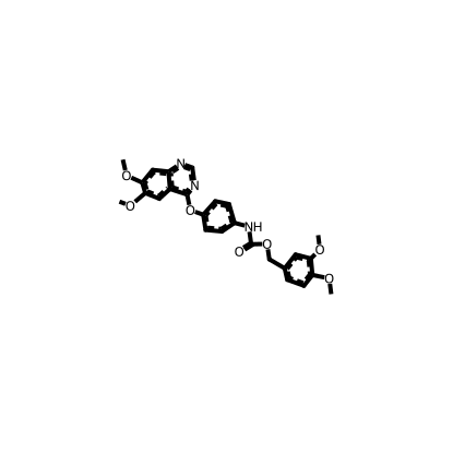 COc1ccc(COC(=O)Nc2ccc(Oc3ncnc4cc(OC)c(OC)cc34)cc2)cc1OC